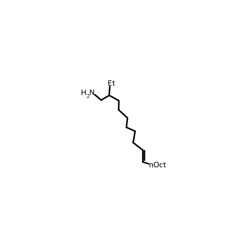 CCCCCCCC/C=C/CCCCCCC(CC)CN